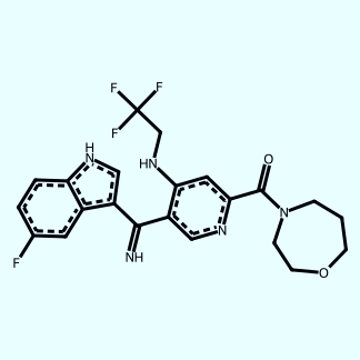 N=C(c1cnc(C(=O)N2CCCOCC2)cc1NCC(F)(F)F)c1c[nH]c2ccc(F)cc12